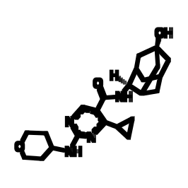 O=C(N[C@H]1C2CC3CC1C[C@@](O)(C3)C2)c1cnc(NC2CCOCC2)nc1C1CC1